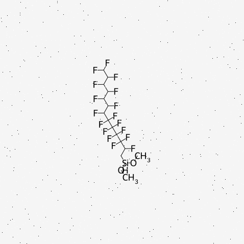 CO[SiH](CC(F)C(F)(F)C(F)(F)C(F)(F)C(F)(F)C(F)C(F)C(F)C(F)C(F)C(F)C(F)F)OC